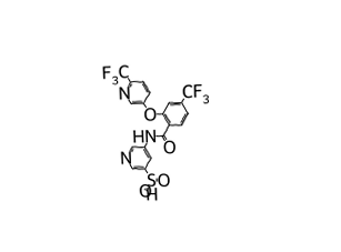 O=C(Nc1cncc([SH](=O)=O)c1)c1ccc(C(F)(F)F)cc1Oc1ccc(C(F)(F)F)nc1